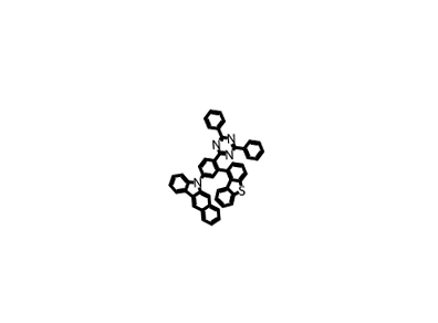 c1ccc(-c2nc(-c3ccccc3)nc(-c3ccc(-n4c5ccccc5c5cc6ccccc6cc54)cc3-c3cccc4sc5ccccc5c34)n2)cc1